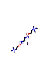 C[N+](C)(C)CCO/N=C/C=N/OCC[N+](C)(C)C.[I-].[I-]